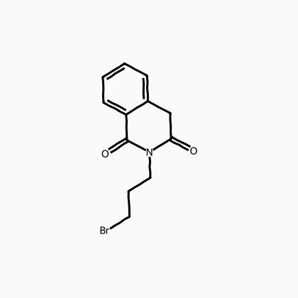 O=C1Cc2ccccc2C(=O)N1CCCBr